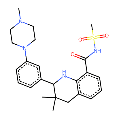 CN1CCN(c2cccc(C3Nc4c(cccc4C(=O)NS(C)(=O)=O)CC3(C)C)c2)CC1